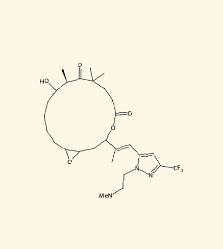 CNCCn1nc(C(F)(F)F)cc1/C=C(\C)C1CC2OC2CCCCC(O)[C@@H](C)C(=O)C(C)(C)CCC(=O)O1